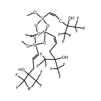 CO[Si](/C=C\CC(O)(C(F)(F)F)C(F)(F)F)(OC)O[Si](/C=C\CC(O)(C(F)(F)F)C(F)(F)F)(OC)O[Si](/C=C/CC(O)(C(F)(F)F)C(F)(F)F)(OC)OC